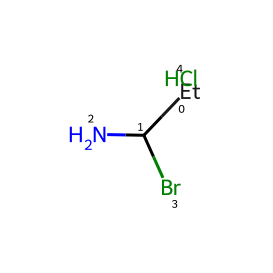 CCC(N)Br.Cl